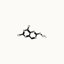 CSc1ncc2nc(Cl)nc(Cl)c2n1